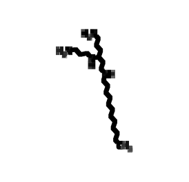 CCCCCCCCCCCCNCCC(CCCN)NCCCN